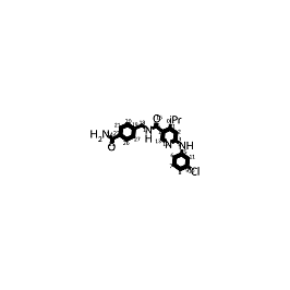 CC(C)c1cc(Nc2cccc(Cl)c2)ncc1C(=O)NCc1ccc(C(N)=O)cc1